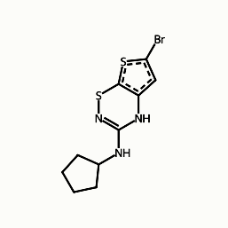 Brc1cc2c(s1)SN=C(NC1CCCC1)N2